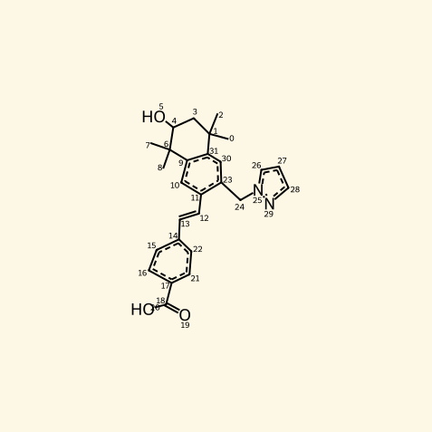 CC1(C)CC(O)C(C)(C)c2cc(C=Cc3ccc(C(=O)O)cc3)c(Cn3cccn3)cc21